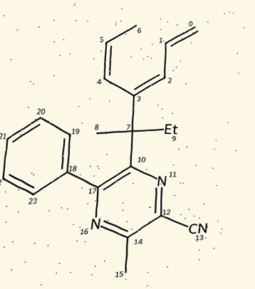 C=C/C=C(\C=C/C)C(C)(CC)c1nc(C#N)c(C)nc1-c1ccccc1